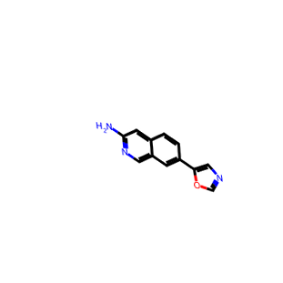 Nc1cc2ccc(-c3cnco3)cc2cn1